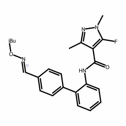 CCC(C)O/N=C/c1ccc(-c2ccccc2NC(=O)c2c(C)nn(C)c2F)cc1